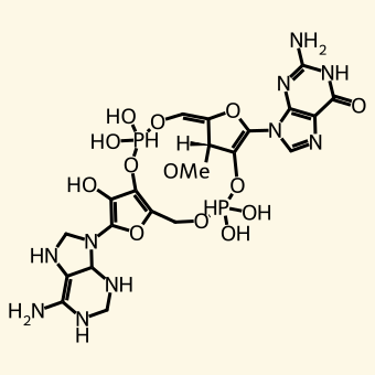 CO[C@H]1C2=C(n3cnc4c(=O)[nH]c(N)nc43)O/C1=C/O[PH](O)(O)Oc1c(oc(N3CNC4=C(N)NCNC43)c1O)CO[PH](O)(O)O2